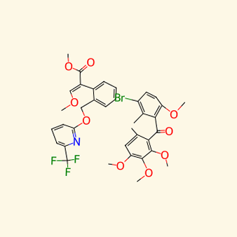 CO/C=C(/C(=O)OC)c1ccccc1COc1cccc(C(F)(F)F)n1.COc1cc(C)c(C(=O)c2c(OC)ccc(Br)c2C)c(OC)c1OC